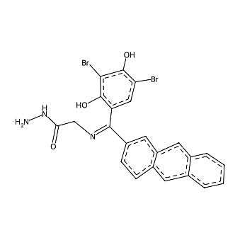 NNC(=O)CN=C(c1ccc2cc3ccccc3cc2c1)c1cc(Br)c(O)c(Br)c1O